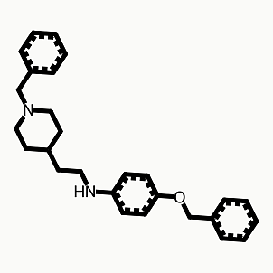 c1ccc(COc2ccc(NCCC3CCN(Cc4ccccc4)CC3)cc2)cc1